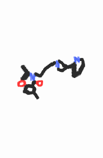 CC1=COc2ccc(C)cc2C(=O)N1CCCCCN1CCC(c2ccccn2)CC1